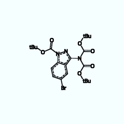 CC(C)(C)OC(=O)N(C(=O)OC(C)(C)C)c1nn(C(=O)OC(C)(C)C)c2ccc(Br)cc12